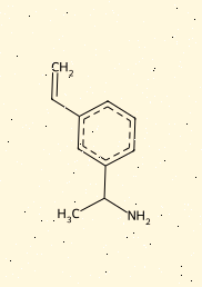 C=Cc1cccc(C(C)N)c1